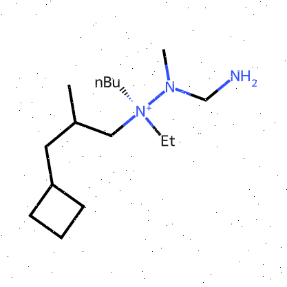 CCCC[N@+](CC)(CC(C)CC1CCC1)N(C)CN